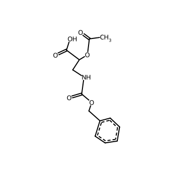 CC(=O)OC(CNC(=O)OCc1ccccc1)C(=O)O